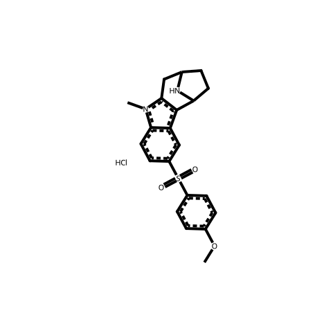 COc1ccc(S(=O)(=O)c2ccc3c(c2)c2c(n3C)CC3CCC2N3)cc1.Cl